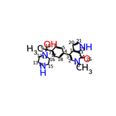 Cn1cc(-c2ccc(C(C)(O)N3CCNCC3)cc2)c2cc[nH]c2c1=O